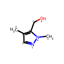 Cc1[c]nn(C)c1CO